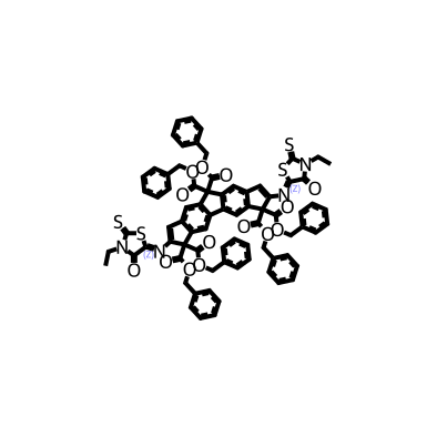 CCN1C(=O)/C(=N/C2=Cc3cc4c(cc3C2(C(=O)OCc2ccccc2)C(=O)OCc2ccccc2)-c2cc3c(cc2C4(C(=O)OCc2ccccc2)C(=O)OCc2ccccc2)C=C(/N=C2\SC(=S)N(CC)C2=O)C3(C(=O)OCc2ccccc2)C(=O)OCc2ccccc2)SC1=S